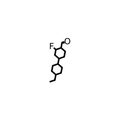 CCC1CCC(C2CCC(C=O)C(F)C2)CC1